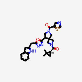 CC1(C)C[C@@H]1C(=O)N1CC2(CN(C(=O)c3cncs3)CC2c2nnc(Cc3cc4ccccc4[nH]3)o2)C1